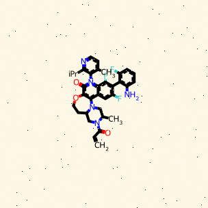 C=CC(=O)N1CC2CCOc3c(c4cc(F)c(-c5c(N)cccc5F)c(F)c4n(-c4c(C)ccnc4C(C)C)c3=O)N2CC1C